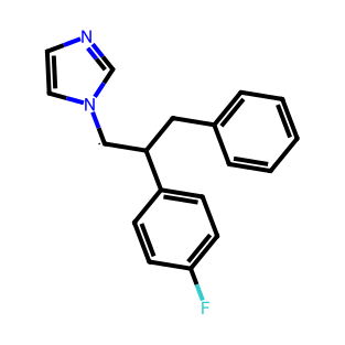 Fc1ccc(C([CH]n2ccnc2)Cc2ccccc2)cc1